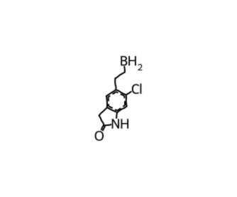 BCCc1cc2c(cc1Cl)NC(=O)C2